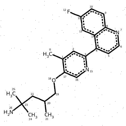 Cc1cc(-c2ccnc3ccc(F)cc23)ncc1OCC(C)CC(C)(C)N